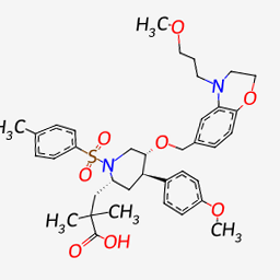 COCCCN1CCOc2ccc(CO[C@H]3CN(S(=O)(=O)c4ccc(C)cc4)[C@@H](CC(C)(C)C(=O)O)C[C@@H]3c3ccc(OC)cc3)cc21